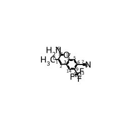 CC(=Cc1ccc(C#N)c(C(F)(F)F)c1)C(N)=O